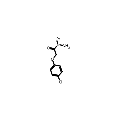 CC(C)N(N)C(=O)COc1ccc(Cl)cc1